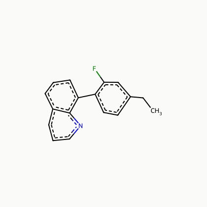 CCc1ccc(-c2cccc3cccnc23)c(F)c1